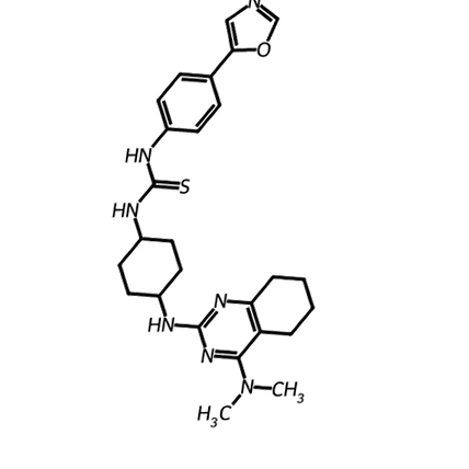 CN(C)c1nc(NC2CCC(NC(=S)Nc3ccc(-c4cnco4)cc3)CC2)nc2c1CCCC2